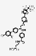 CC(C)(C)c1nnc(-c2ccc(OC[C@@H](Nc3ccc(C(=O)NCCC(=O)O)cc3)c3ccc(-c4ccc(Cl)cc4Cl)cc3)nc2)o1